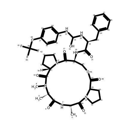 C[C@@H]1NC(=O)[C@H](C)N(C)C(=O)[C@@H]2CCCN2C(=O)[C@@H](NC(=O)[C@H](Cc2ccccc2)NC(O)Nc2ccc(OC(F)(F)F)cc2)COC(=O)C2CCCN2C1=O